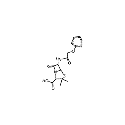 CC1(C)SC2[C@@H](NC(=O)COc3ccccc3)C(=S)N2C1C(=O)O